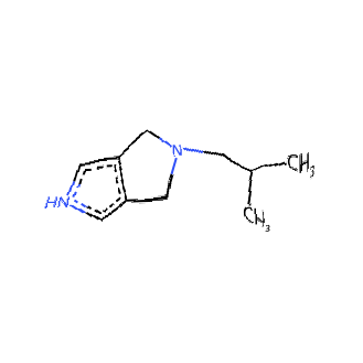 C[C](C)CN1Cc2c[nH]cc2C1